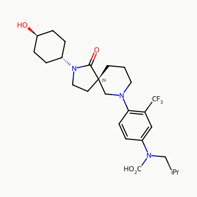 CC(C)CN(C(=O)O)c1ccc(N2CCC[C@]3(CCN([C@H]4CC[C@H](O)CC4)C3=O)C2)c(C(F)(F)F)c1